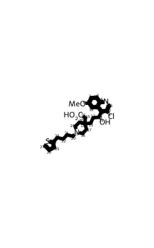 COc1ccc2ncc(Cl)c([C@H](O)CCC3(CC(=O)O)CCN(CCCCc4cccs4)CC3)c2c1